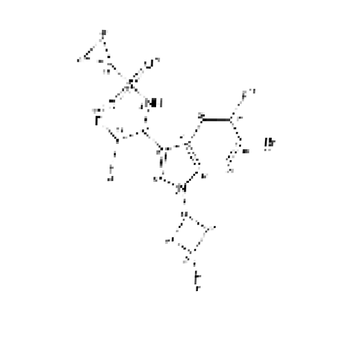 O=S(=O)(NC(c1cn(C2CC(F)C2)c2cc(Br)c(F)cc12)C(F)F)C1CC1